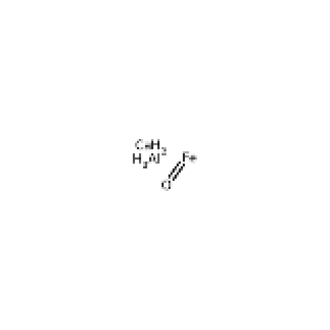 [AlH3].[CaH2].[O]=[Fe]